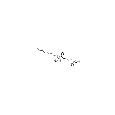 CCCCCCCCCCOC(=O)CCCCC(=O)O.[NaH]